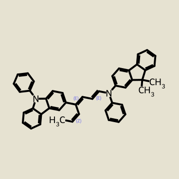 C\C=C/C(=C\C=C\N(c1ccccc1)c1ccc2c(c1)C(C)(C)c1ccccc1-2)c1ccc2c(c1)c1ccccc1n2-c1ccccc1